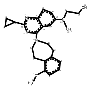 COc1cccc2c1CCN(c1nc(C3CC3)nc3ccc(N(C)CCO)cc13)CC2